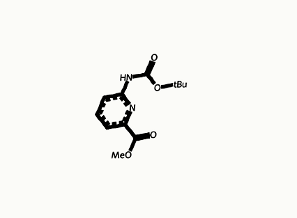 COC(=O)c1cccc(NC(=O)OC(C)(C)C)n1